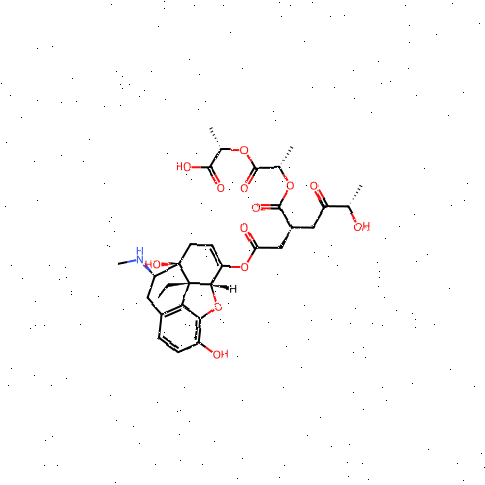 CC[C@]12c3c4ccc(O)c3O[C@H]1C(OC(=O)C[C@H](CC(=O)[C@H](C)O)C(=O)O[C@@H](C)C(=O)O[C@@H](C)C(=O)O)=CC[C@@]2(O)[C@H](NC)C4